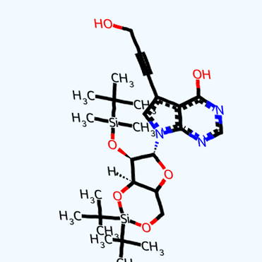 CC(C)(C)[Si](C)(C)O[C@@H]1[C@@H]2O[Si](C(C)(C)C)(C(C)(C)C)OCC2O[C@H]1n1cc(C#CCO)c2c(O)ncnc21